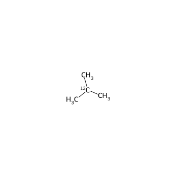 C[13CH](C)C